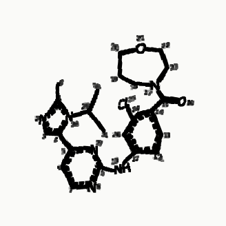 Cc1ncc(-c2ccnc(Nc3ccc(C(=O)N4CCCOCC4)c(Cl)c3)n2)n1C(C)C